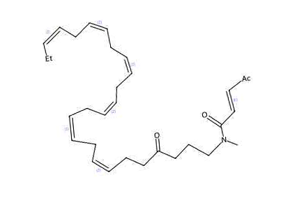 CC/C=C\C/C=C\C/C=C\C/C=C\C/C=C\C/C=C\CCC(=O)CCCN(C)C(=O)/C=C/C(C)=O